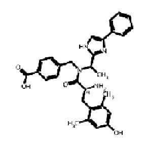 Cc1cc(O)cc(C)c1C[C@H](N)C(=O)N(Cc1ccc(C(=O)O)cc1)C(C)c1nc(-c2ccccc2)c[nH]1